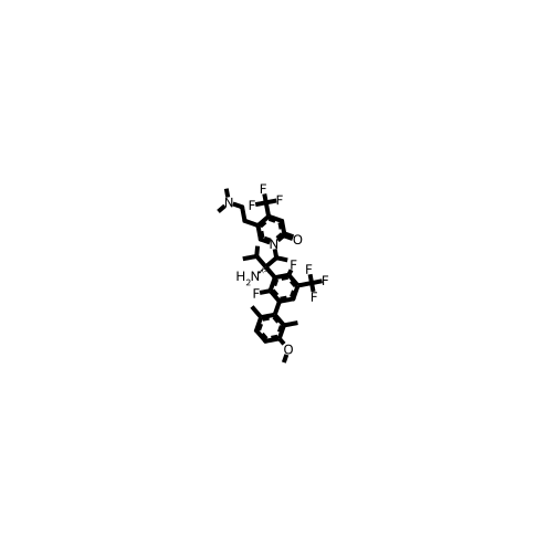 COc1ccc(C)c(-c2cc(C(F)(F)F)c(F)c([C@@](N)(C(C)C)C(C)n3cc(CCN(C)C)c(C(F)(F)F)cc3=O)c2F)c1C